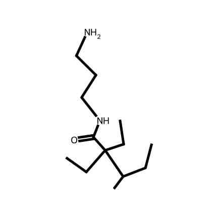 CCC(C)C(CC)(CC)C(=O)NCCCN